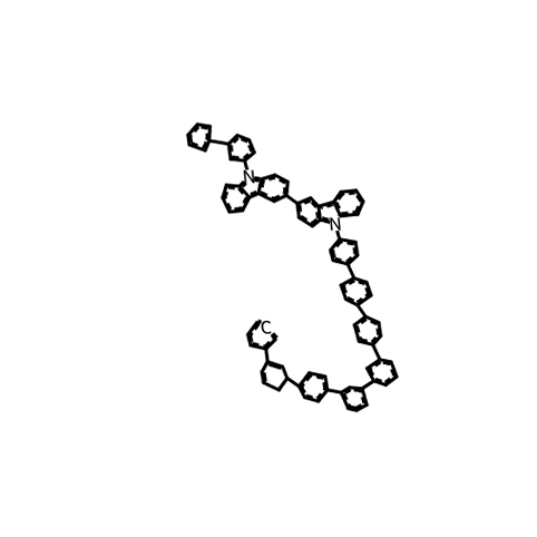 C1=CC(c2ccccc2)=CC(c2ccc(-c3cccc(-c4cccc(-c5ccc(-c6ccc(-c7ccc(-n8c9ccccc9c9cc(-c%10ccc%11c(c%10)c%10ccccc%10n%11-c%10cccc(-c%11ccccc%11)c%10)ccc98)cc7)cc6)cc5)c4)c3)cc2)C1